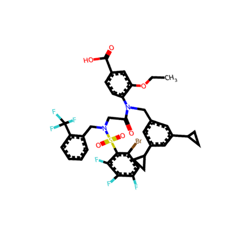 CCOc1cc(C(=O)O)ccc1N(Cc1cc(C2CC2)cc(C2CC2)c1)C(=O)CN(Cc1ccccc1C(F)(F)F)S(=O)(=O)c1c(Br)cc(F)c(F)c1F